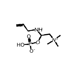 C=CCNC(C[N+](C)(C)C)OP(=O)([O-])O